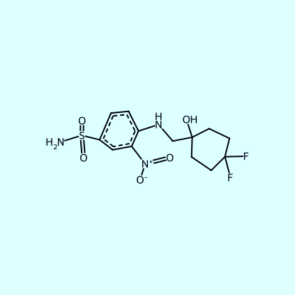 NS(=O)(=O)c1ccc(NCC2(O)CCC(F)(F)CC2)c([N+](=O)[O-])c1